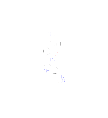 Cc1nnc(-c2cc(C3(NC(=O)c4cc(OC([SiH3])[C@@H]5CCN5C)ccc4C)CC3)c3cccnc3c2)s1